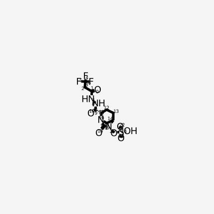 O=C(CC(F)(F)F)NNC(=O)[C@@H]1CCC2CN1C(=O)N2OS(=O)(=O)O